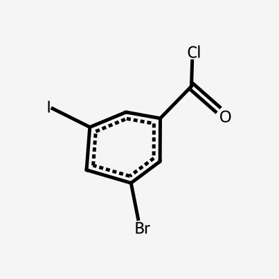 O=C(Cl)c1cc(Br)cc(I)c1